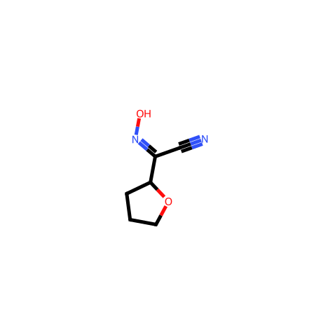 N#CC(=NO)C1CCCO1